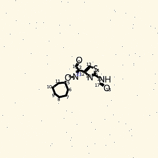 O=[C]/C(=N\OC1CCCCCC1)c1csc(NC=O)n1